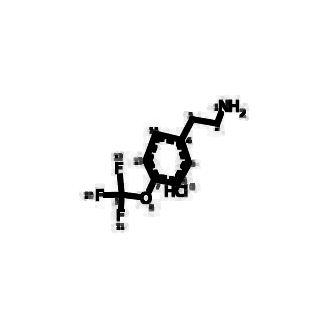 Cl.NCCc1ccc(OC(F)(F)F)cc1